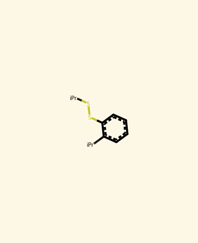 CC(C)SSc1ccccc1C(C)C